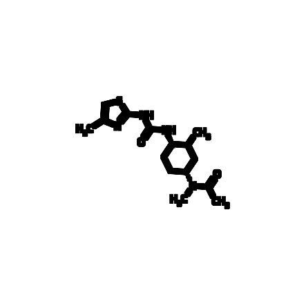 CC(=O)N(C)[C@@H]1CC[C@@H](NC(=O)Nc2nc(C)cs2)C(C)C1